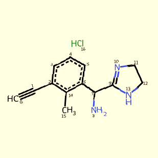 C#Cc1cccc(C(N)C2=NCCN2)c1C.Cl